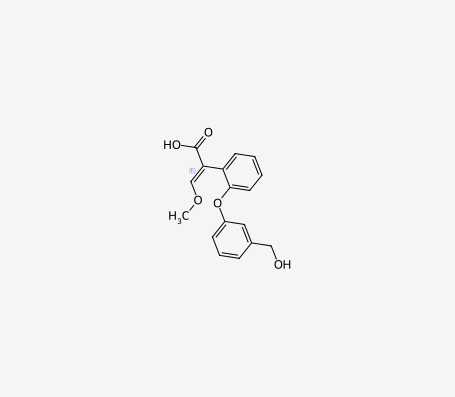 CO/C=C(/C(=O)O)c1ccccc1Oc1cccc(CO)c1